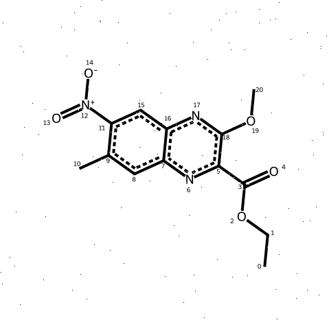 CCOC(=O)c1nc2cc(C)c([N+](=O)[O-])cc2nc1OC